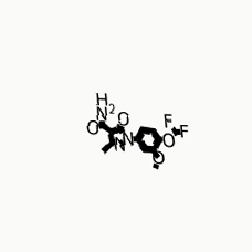 COc1cc(N2N=C(C)C(C(N)=O)C2=O)ccc1OC(F)F